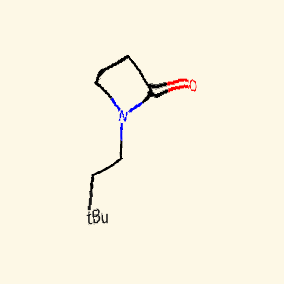 CC(C)(C)CCN1CCC1=O